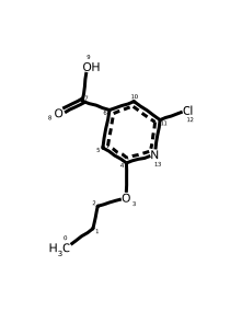 CCCOc1cc(C(=O)O)cc(Cl)n1